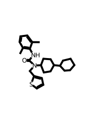 Cc1cccc(C)c1NC(=O)N(Cc1cccs1)C1CCC(C2CCCCC2)CC1